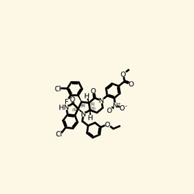 CCOC1=CC=CC(CN2[C@H]3CCN(c4ccc(C(=O)OC)cc4[N+](=O)[O-])C(=O)[C@H]3[C@H](c3cccc(Cl)c3F)[C@]23C(=O)Nc2cc(Cl)ccc23)C1